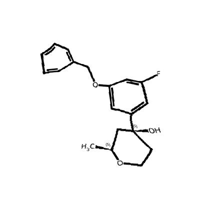 C[C@H]1C[C@](O)(c2cc(F)cc(OCc3ccccc3)c2)CCO1